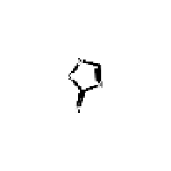 S=c1ncss1